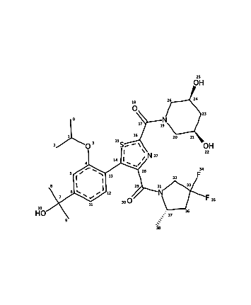 CC(C)Oc1cc(C(C)(C)O)ccc1-c1sc(C(=O)N2C[C@H](O)C[C@H](O)C2)nc1C(=O)N1CC(F)(F)C[C@@H]1C